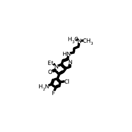 CCn1c(=O)c(-c2cc(N)c(F)cc2Cl)cc2cnc(NCCCN(C)C)cc21